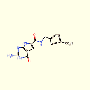 Nc1nc2[nH]c(C(=O)NCc3ccc(C(=O)O)cc3)cc2c(=O)[nH]1